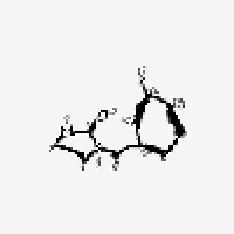 O=C1[N]CCN1Cc1cccc(F)c1